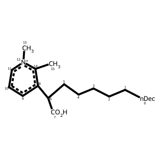 CCCCCCCCCCCCCCCC(C(=O)O)c1ccc[n+](C)c1C